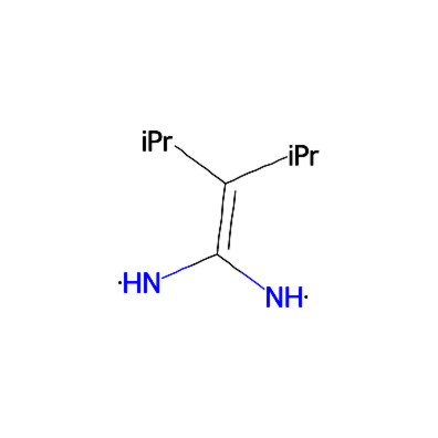 CC(C)C(=C([NH])[NH])C(C)C